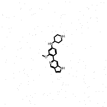 COc1cc(NC2CCNCC2)ccc1-c1cc2[nH]ccc2cn1